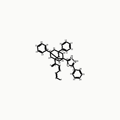 C=C(/C=C\C=C/C)C12CC3(c4ccccc4)CC(c4ccccc4)(C1)CC(c1nnc(-c4ccccc4)o1)(C2)C3